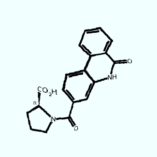 O=C(O)[C@@H]1CCCN1C(=O)c1ccc2c(c1)[nH]c(=O)c1ccccc12